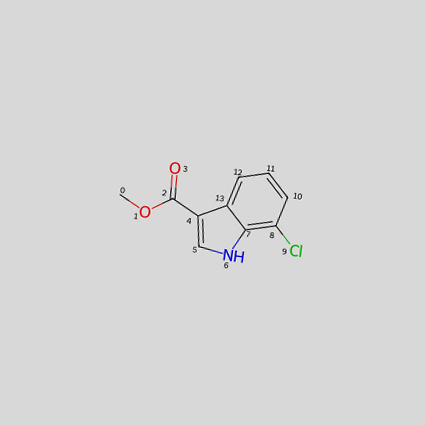 COC(=O)c1c[nH]c2c(Cl)cccc12